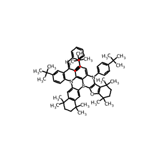 CC(C)(C)c1ccc(N2c3cc(C(C)(C)C)cc4c3B(c3cc5c(cc3N4c3ccc(C(C)(C)C)cc3-c3ccc4ccccc4c3)C(C)(C)CCC5(C)C)c3oc4c(c32)C(C)(C)CCC4(C)C)cc1